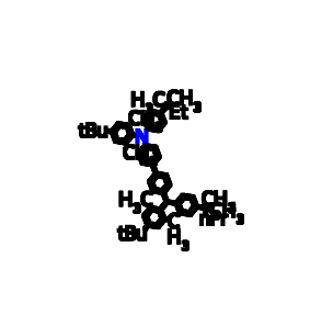 CCCC(C)(C)c1ccc(C(c2ccc(-c3ccc(N(c4ccc(C(C)(C)CC)cc4)c4c(C)cc(C(C)(C)C)cc4C)cc3)cc2)c2c(C)cc(C(C)(C)C)cc2C)cc1